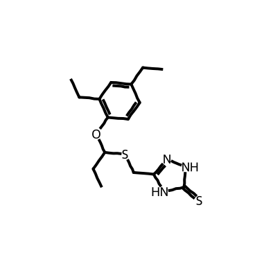 CCc1ccc(OC(CC)SCc2n[nH]c(=S)[nH]2)c(CC)c1